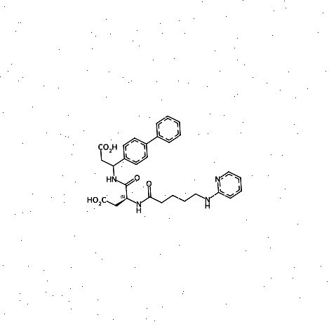 O=C(O)CC(NC(=O)[C@H](CC(=O)O)NC(=O)CCCCNc1ccccn1)c1ccc(-c2ccccc2)cc1